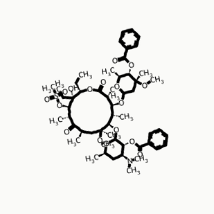 CC[C@H]1OC(=O)[C@H](C)[C@@H](OC2C[C@@](C)(OC)[C@@H](OC(=O)c3ccccc3)[C@H](C)O2)[C@H](C)[C@@H](OC2O[C@H](C)C[C@H](N(C)C)[C@H]2OC(=O)c2ccccc2)[C@@](C)(OC)C[C@@H](C)C(=O)[C@H](C)[C@@H](OS(C)(=O)=O)[C@@]1(O)CC